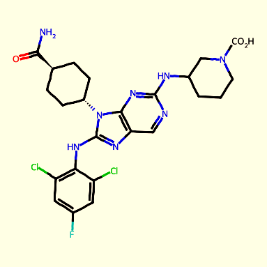 NC(=O)[C@H]1CC[C@H](n2c(Nc3c(Cl)cc(F)cc3Cl)nc3cnc(NC4CCCN(C(=O)O)C4)nc32)CC1